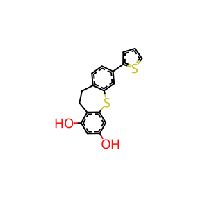 Oc1cc(O)c2c(c1)Sc1cc(-c3cccs3)ccc1CC2